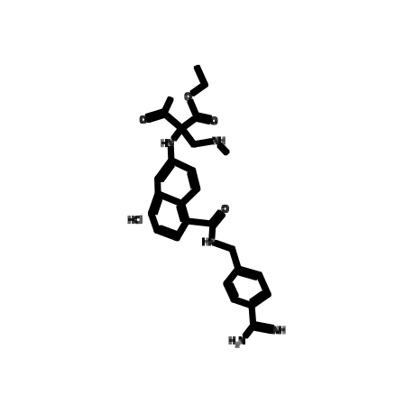 CCOC(=O)C(CNC)(Nc1ccc2c(C(=O)NCc3ccc(C(=N)N)cc3)cccc2c1)C(C)=O.Cl